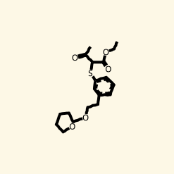 CCOC(=O)C(Sc1cccc(CCOC2CCCCO2)c1)C(C)=O